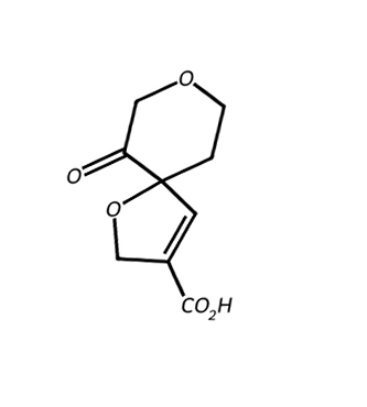 O=C(O)C1=CC2(CCOCC2=O)OC1